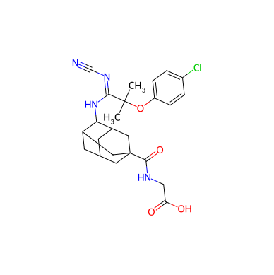 CC(C)(Oc1ccc(Cl)cc1)/C(=N/C#N)NC1C2CC3CC1CC(C(=O)NCC(=O)O)(C3)C2